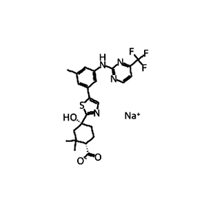 Cc1cc(Nc2nccc(C(F)(F)F)n2)cc(-c2cnc([C@@]3(O)CC[C@H](C(=O)[O-])C(C)(C)C3)s2)c1.[Na+]